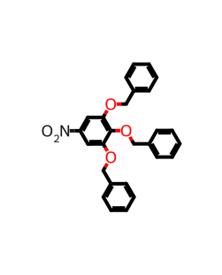 O=[N+]([O-])c1cc(OCc2ccccc2)c(OCc2ccccc2)c(OCc2ccccc2)c1